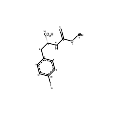 CC(C)(C)OC(=O)N[C@H](Cc1ccc(I)cc1)C(=O)O